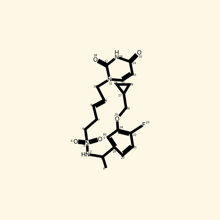 CC(NS(=O)(=O)CCC=CCn1ccc(=O)[nH]c1=O)c1ccc(F)c(OCC2CC2)c1